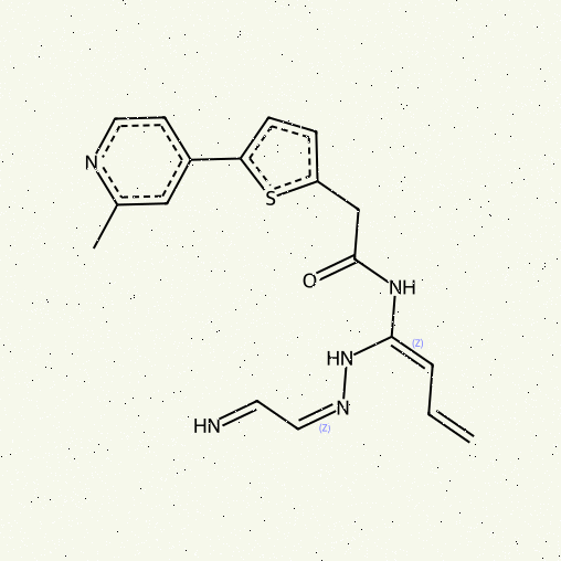 C=C/C=C(\N/N=C\C=N)NC(=O)Cc1ccc(-c2ccnc(C)c2)s1